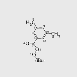 CC[C](C)OOC(=O)c1cc(C)cc(C)c1